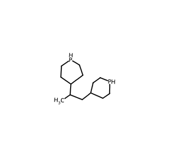 CC(CC1CCPCC1)C1CCPCC1